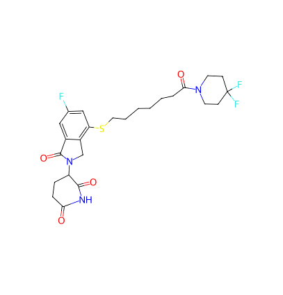 O=C1CCC(N2Cc3c(SCCCCCCC(=O)N4CCC(F)(F)CC4)cc(F)cc3C2=O)C(=O)N1